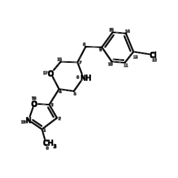 Cc1cc(C2CNC(Cc3ccc(Cl)cc3)CO2)on1